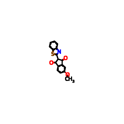 COc1ccc2c(c1)C(=O)C(c1nc3ccccc3s1)C2=O